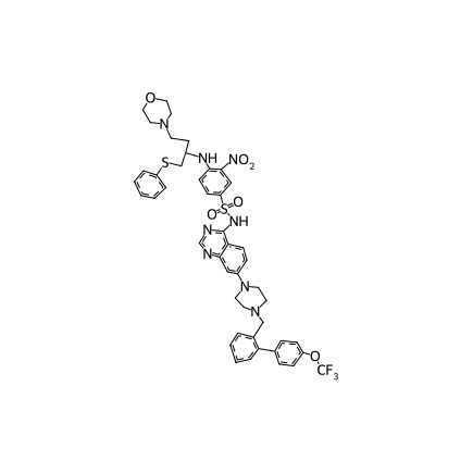 O=[N+]([O-])c1cc(S(=O)(=O)Nc2ncnc3cc(N4CCN(Cc5ccccc5-c5ccc(OC(F)(F)F)cc5)CC4)ccc23)ccc1NC(CCN1CCOCC1)CSc1ccccc1